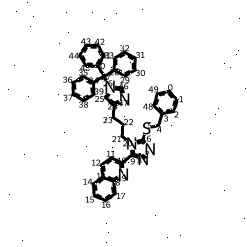 c1ccc(CSc2nnc(-c3ccc4ccccc4n3)n2CCCc2cn(C(c3ccccc3)(c3ccccc3)c3ccccc3)cn2)cc1